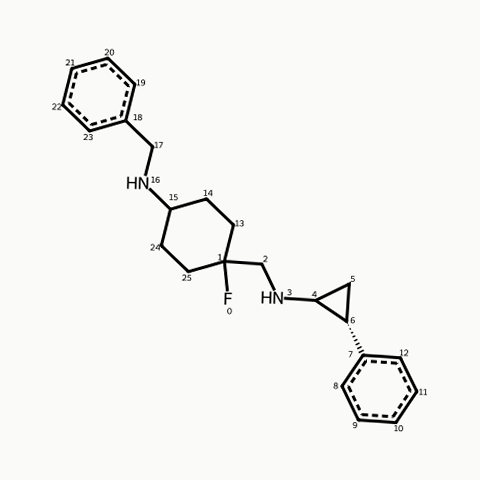 FC1(CNC2C[C@@H]2c2ccccc2)CCC(NCc2ccccc2)CC1